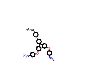 CCCCC[C@H]1CC[C@H](C2CCC(c3ccc(Oc4ccc(N)cc4)cc3)(c3ccc(Oc4ccc(N)cc4)cc3)CC2)CC1